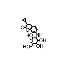 O=c1oc2cc(NC3C(O)OC(CO)[C@@H](O)C3O)ccc2cc1C1CC1